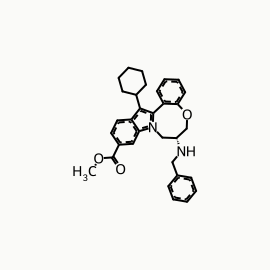 COC(=O)c1ccc2c(C3CCCCC3)c3n(c2c1)C[C@@H](NCc1ccccc1)COc1ccccc1-3